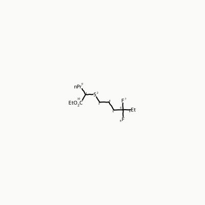 CCCC(SCCCC(F)(F)CC)C(=O)OCC